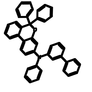 c1ccc(-c2cccc(N(c3ccccc3)c3ccc4c(c3)OC(c3ccccc3)(c3ccccc3)c3ccccc3-4)c2)cc1